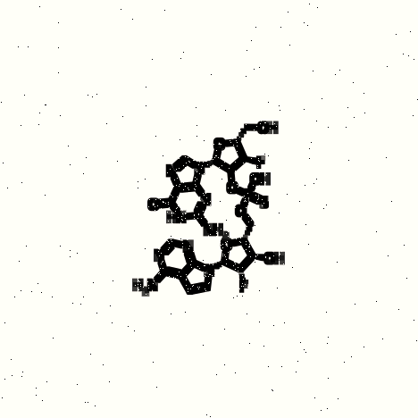 Nc1nc2c(ncn2[C@@H]2O[C@H](CO)[C@@H](F)C2OP(O)(=S)OC[C@H]2O[C@@H](n3ccc4c(N)ncnc43)[C@@H](F)[C@@H]2O)c(=O)[nH]1